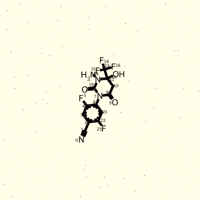 N#Cc1cc(F)c(N2C(=O)CC(O)(C(F)(F)F)N(N)C2=O)cc1F